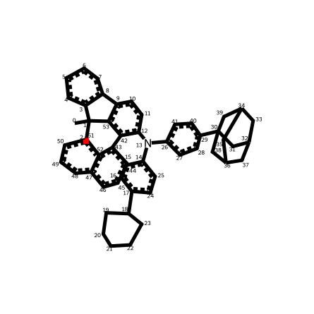 CC1(C)c2ccccc2-c2ccc(N(c3ccc(C4CCCCC4)cc3)c3ccc(C45CC6CC(CC(C6)C4)C5)cc3)c(-c3cccc4ccccc34)c21